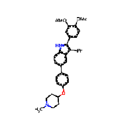 COc1ccc(-c2[nH]c3ccc(-c4ccc(OC5CCN(C)CC5)cc4)cc3c2C(C)C)cc1OC